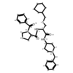 O=C(N[C@@H](CSCC1CCCCC1)C(=O)NC1CCN(Cc2ccccc2)CC1)C1CSCN1C(=O)c1ccccc1